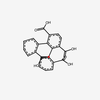 O=C(O)c1ccccc1-c1c(C(=O)O)ccc(C(=O)O)c1-c1ccccc1C(=O)O